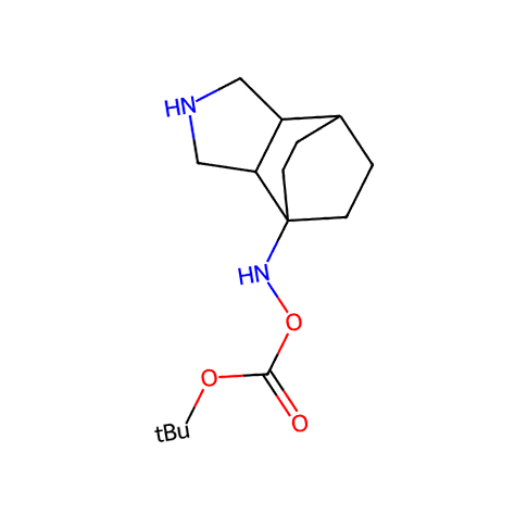 CC(C)(C)OC(=O)ONC12CCC(CC1)C1CNCC12